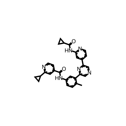 Cc1ccc(NC(=O)c2ccnc(C3CC3)c2)cc1-c1cncc(-c2ccnc(NC(=O)C3CC3)c2)n1